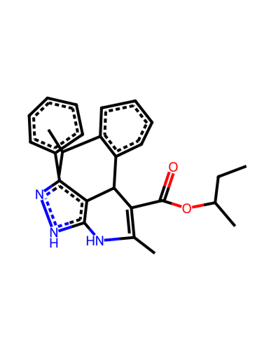 CCC(C)OC(=O)C1=C(C)Nc2[nH]nc(-c3ccccc3)c2C1c1ccccc1C(C)C